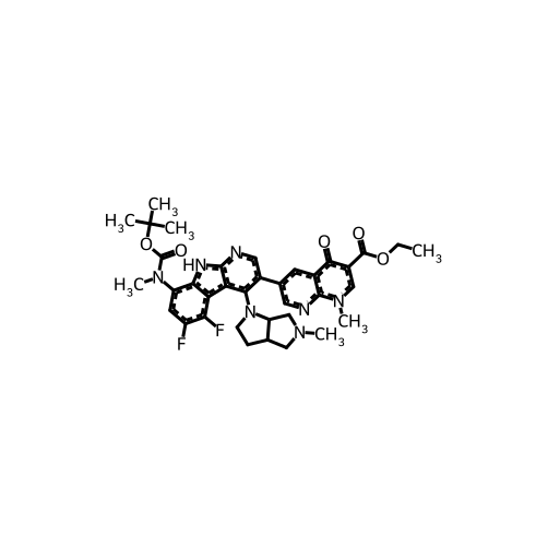 CCOC(=O)c1cn(C)c2ncc(-c3cnc4[nH]c5c(N(C)C(=O)OC(C)(C)C)cc(F)c(F)c5c4c3N3CCC4CN(C)CC43)cc2c1=O